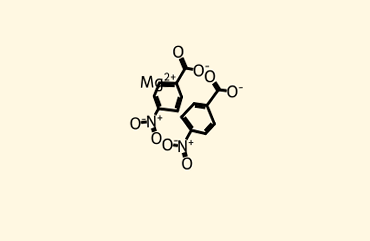 O=C([O-])c1ccc([N+](=O)[O-])cc1.O=C([O-])c1ccc([N+](=O)[O-])cc1.[Mg+2]